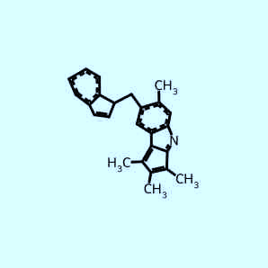 CC1=C(C)C(C)=C2C1=Nc1cc(C)c(CC3C=Cc4ccccc43)cc12